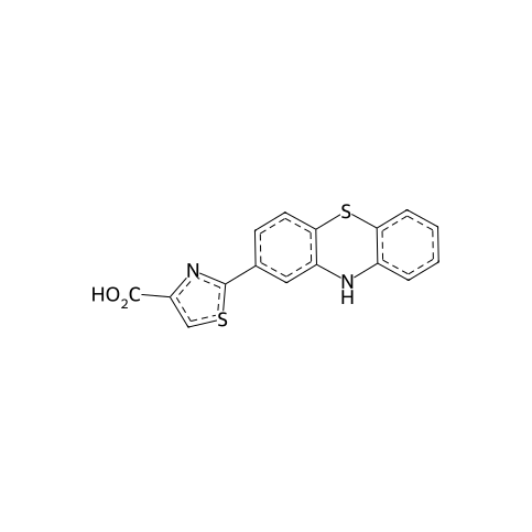 O=C(O)c1csc(-c2ccc3c(c2)Nc2ccccc2S3)n1